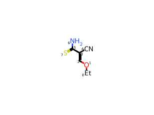 CCO/C=C(\C#N)C(N)=S